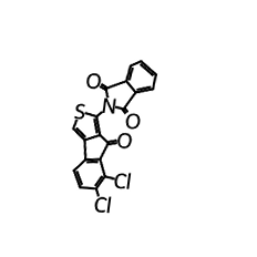 O=C1c2c(csc2N2C(=O)c3ccccc3C2=O)-c2ccc(Cl)c(Cl)c21